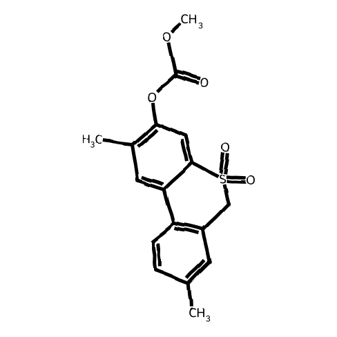 COC(=O)Oc1cc2c(cc1C)-c1ccc(C)cc1CS2(=O)=O